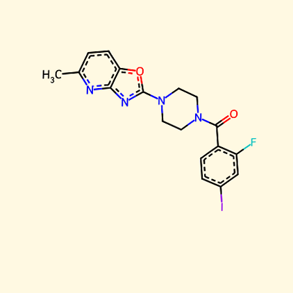 Cc1ccc2oc(N3CCN(C(=O)c4ccc(I)cc4F)CC3)nc2n1